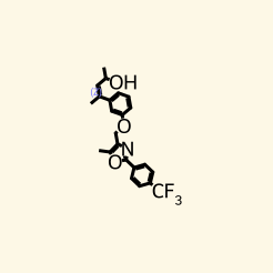 C/C(=C/C(C)O)c1cccc(OCc2nc(-c3ccc(C(F)(F)F)cc3)oc2C)c1